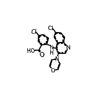 O=C(O)c1cc(Cl)ccc1Nc1c(N2C=COC=C2)cnc2ccc(Cl)cc12